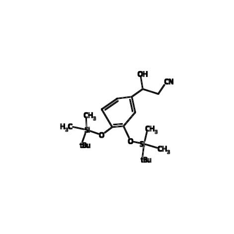 CC(C)(C)[Si](C)(C)Oc1ccc(C(O)CC#N)cc1O[Si](C)(C)C(C)(C)C